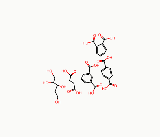 O=C(O)CCC(=O)O.O=C(O)c1ccc(C(=O)O)cc1.O=C(O)c1cccc(C(=O)O)c1.O=C(O)c1ccccc1C(=O)O.OCCC(O)C(O)CO